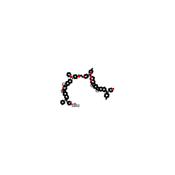 Cc1ccc(N(c2ccc(C)cc2)c2ccc3cc4c(cc3c2)oc2cc3oc5cc6cc(N(c7ccc(C)cc7)c7ccc(CCC(C)(C)c8ccc(N(c9ccccc9)c9ccc%10cc%11c(cc%10c9)oc9cc%10oc%12cc%13cc(N(c%14ccccc%14)c%14ccc(C(C)(C)C)cc%14)ccc%13cc%12c%10cc9%11)cc8)cc7)ccc6cc5c3cc24)cc1